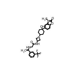 C=C(NCC(=O)NC1CN(C2CCC(O)(c3ccc4oc(=O)n(C)c4c3)CC2)C1)c1cccc(C(F)(F)F)c1